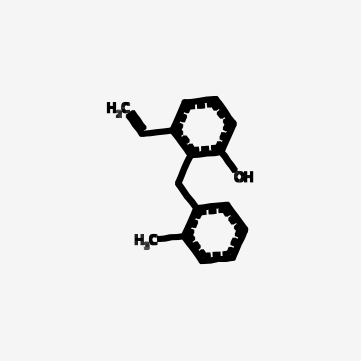 C=Cc1cccc(O)c1Cc1ccccc1C